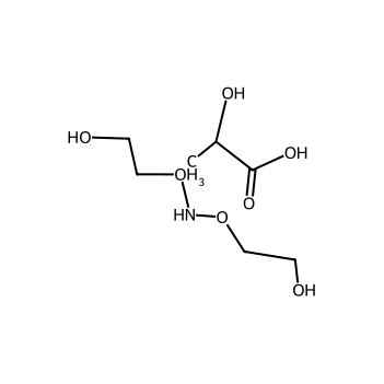 CC(O)C(=O)O.OCCONOCCO